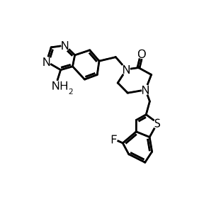 Nc1ncnc2cc(CN3CCN(Cc4cc5c(F)cccc5s4)CC3=O)ccc12